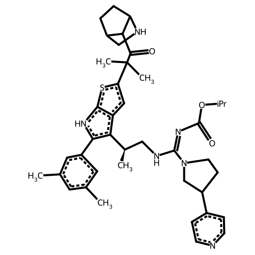 Cc1cc(C)cc(-c2[nH]c3sc(C(C)(C)C(=O)C4C5CCC4NC5)cc3c2[C@H](C)CNC(=NC(=O)OC(C)C)N2CCC(c3ccncc3)C2)c1